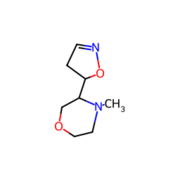 CN1CCOCC1C1CC=NO1